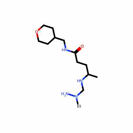 CCN(N)CNC(C)CCC(=O)NCC1CCOCC1